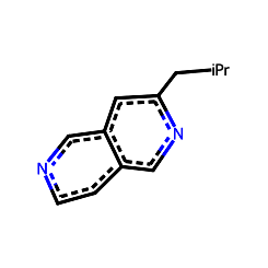 CC(C)Cc1cc2cnccc2cn1